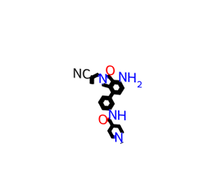 C=C(C#N)CN1Cc2c(-c3cccc(NC(=O)C4CCN(C)CC4)c3)ccc(N)c2C1=O